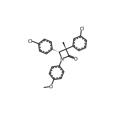 COc1ccc(N2C(=O)[C@@](C)(c3cccc(Cl)c3)[C@H]2c2ccc(Cl)cc2)cc1